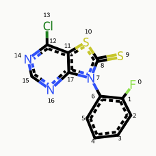 Fc1ccccc1-n1c(=S)sc2c(Cl)ncnc21